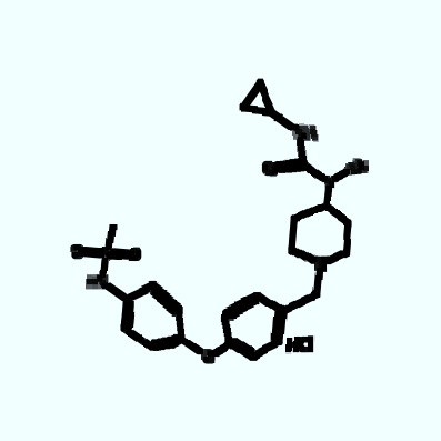 CCCCN(C(=O)NC1CC1)C1CCN(Cc2ccc(Oc3ccc(NS(C)(=O)=O)cc3)cc2)CC1.Cl